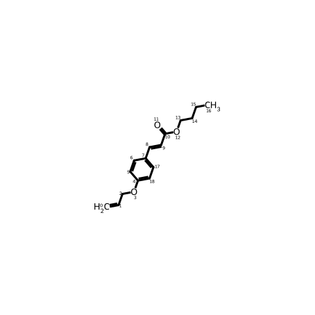 C=CCOc1ccc(C=CC(=O)OCCCC)cc1